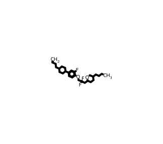 C=CCCC1CCC(c2ccc(OCC(F)(F)CC3CCC(CCCC)CO3)c(F)c2)CC1